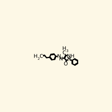 C=CCc1ccc(N=Nc2c(C)[nH]n(-c3ccccc3)c2=O)cc1